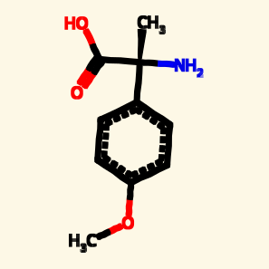 COc1ccc([C@@](C)(N)C(=O)O)cc1